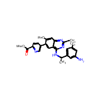 COC(=O)c1ccc(-c2cc3c(N[C@H](C)c4cc(N)cc(C(F)(F)F)c4)nc(C)nc3cc2OC)cn1